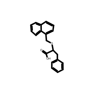 O=C(O)C(Cc1ccccc1)OCc1cccc2ccccc12